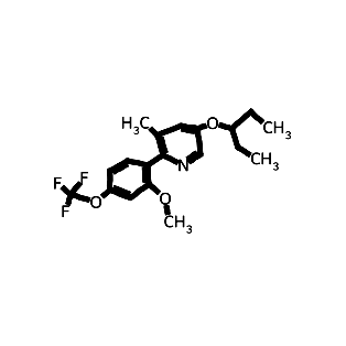 CCC(CC)Oc1cnc(-c2ccc(OC(F)(F)F)cc2OC)c(C)c1